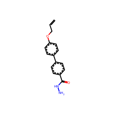 C=CCOc1ccc(-c2ccc(C(=O)NN)cc2)cc1